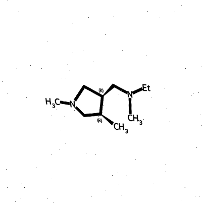 CCN(C)C[C@@H]1CN(C)C[C@@H]1C